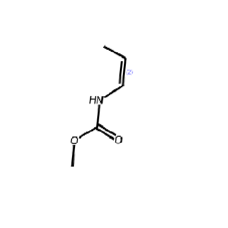 C/C=C\NC(=O)OC